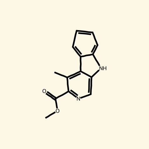 COC(=O)c1ncc2[nH]c3ccccc3c2c1C